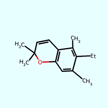 CCc1c(C)cc2c(c1C)C=CC(C)(C)O2